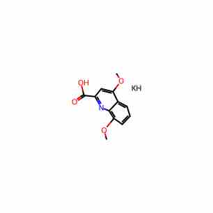 COc1cc(C(=O)O)nc2c(OC)cccc12.[KH]